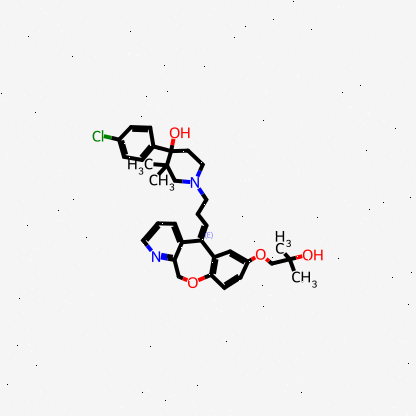 CC(C)(O)COc1ccc2c(c1)/C(=C/CCN1CCC(O)(c3ccc(Cl)cc3)C(C)(C)C1)c1cccnc1CO2